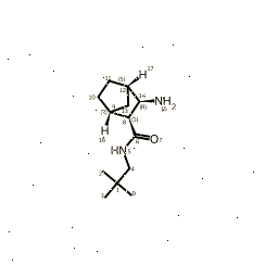 CC(C)(C)CNC(=O)[C@H]1[C@@H]2CC[C@@H](C2)[C@H]1N